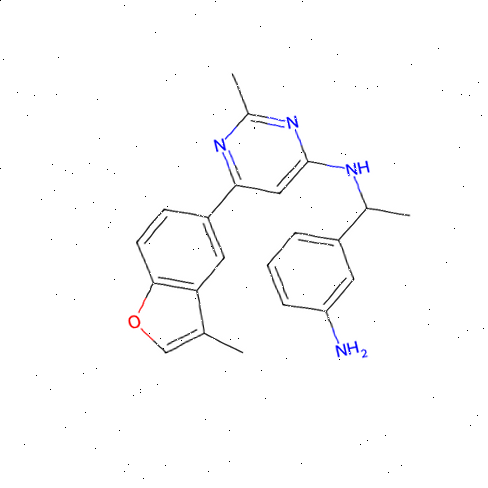 Cc1nc(NC(C)c2cccc(N)c2)cc(-c2ccc3occ(C)c3c2)n1